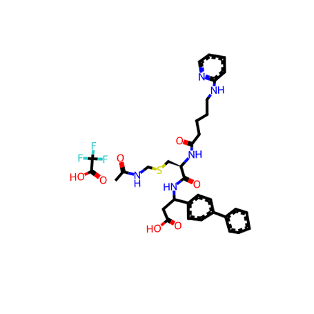 CC(=O)NCSC[C@@H](NC(=O)CCCCNc1ccccn1)C(=O)NC(CC(=O)O)c1ccc(-c2ccccc2)cc1.O=C(O)C(F)(F)F